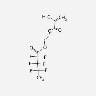 C=C(C)C(=O)OCCOC(=O)C(F)(F)C(F)(F)C(F)(F)C(F)(F)F